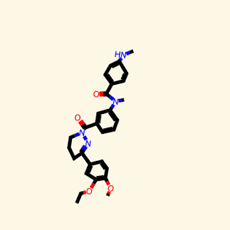 CCOc1cc(C2=NN(C(=O)c3cccc(N(C)C(=O)c4ccc(NC)cc4)c3)CCC2)ccc1OC